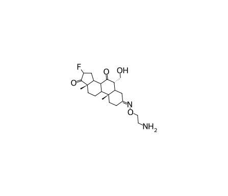 C[C@]12CCC(=NOCCN)CC1[C@@H](CO)C(=O)C1C2CC[C@]2(C)C(=O)C(F)CC12